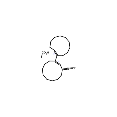 CC(=O)O.[N-]=[N+]=C1/C=C(/C2=C\CCCCCCCCC2)CCCCCCCC1